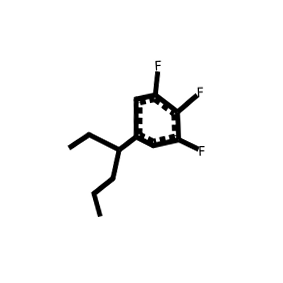 CCCC(CC)c1cc(F)c(F)c(F)c1